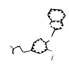 CCC(=O)CCc1ccc(Oc2nc3ccccc3s2)c(OC(C)C)c1